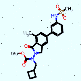 Cc1cc(-c2cccc(NS(C)(=O)=O)c2)cc2c1C(=O)N(N(CC1CCC1)C(=O)OC(C)(C)C)C2